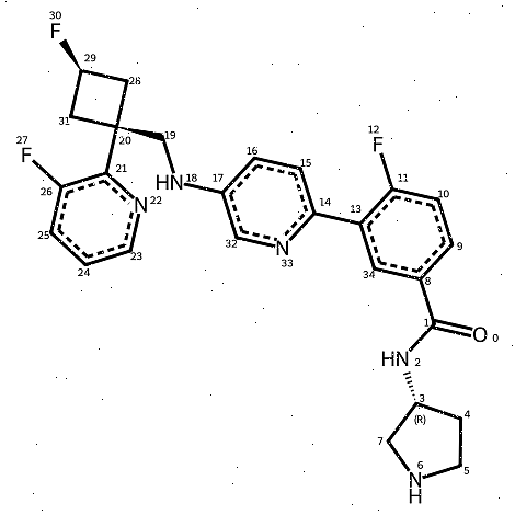 O=C(N[C@@H]1CCNC1)c1ccc(F)c(-c2ccc(NC[C@]3(c4ncccc4F)C[C@H](F)C3)cn2)c1